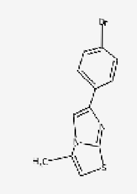 Cc1csc2nc(-c3ccc(Br)cc3)cn12